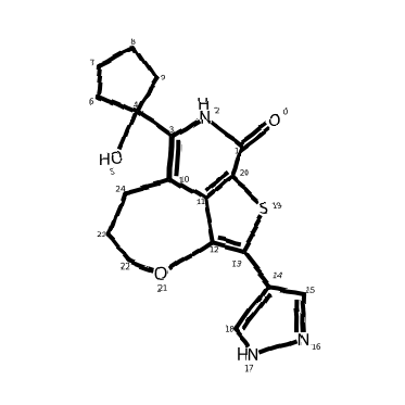 O=c1[nH]c(C2(O)CCCC2)c2c3c(c(-c4cn[nH]c4)sc13)OCCC2